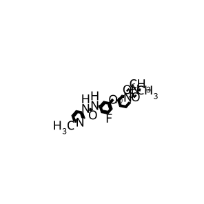 Cc1ccc(NC(=O)Nc2cc(F)cc(O[C@@H]3CCCN(S(=O)(=O)N(C)C)C3)c2)cn1